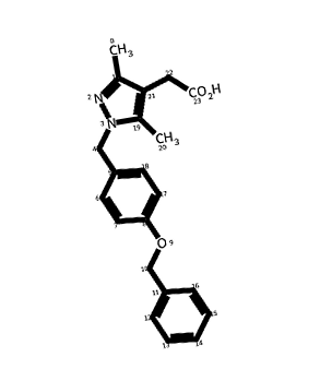 Cc1nn(Cc2ccc(OCc3ccccc3)cc2)c(C)c1CC(=O)O